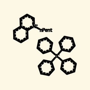 CCCCC[n+]1cccc2ccccc21.c1ccc([B-](c2ccccc2)(c2ccccc2)c2ccccc2)cc1